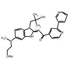 COCCN(C)c1ccc2c(c1)[nH]/c(=N\C(=O)c1ccnc(-c3cccnc3)c1)n2CC(C)(C)O